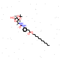 CCCCCCCCCCCCOC(=O)Cc1cccc(NC(=O)N[C@@H](C)[C@H]2O[C@H](O)[C@H]3OC(C)(C)O[C@@H]23)c1